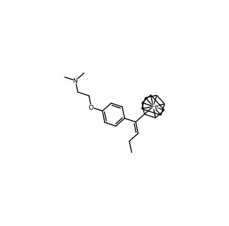 CCC=C(c1ccc(OCCN(C)C)cc1)[C]12[CH]3[CH]4[CH]5[CH]1[Fe]45321678[CH]2[CH]1[CH]6[CH]7[CH]28